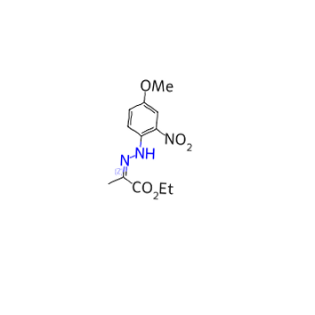 CCOC(=O)/C(C)=N\Nc1ccc(OC)cc1[N+](=O)[O-]